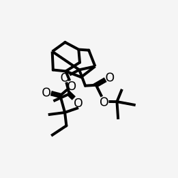 CCC(C)(C)C(=O)OC12CC3CC(C1)C(CC(=O)OC(C)(C)C)(OC(C)=O)C(C3)C2